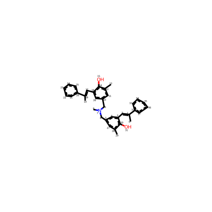 CC(=Cc1cc(CN(C)Cc2cc(C)c(O)c(C=C(C)c3ccccc3)c2)cc(C)c1O)c1ccccc1